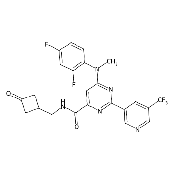 CN(c1cc(C(=O)NCC2CC(=O)C2)nc(-c2cncc(C(F)(F)F)c2)n1)c1ccc(F)cc1F